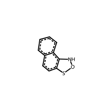 c1ccc2c3c(ccc2c1)SON3